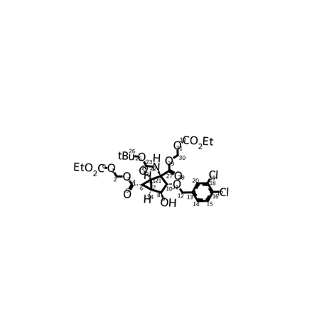 CCOC(=O)OCOC(=O)[C@H]1[C@@H]2[C@H](O)[C@@H](OCc3ccc(Cl)c(Cl)c3)[C@@](NC(=O)OC(C)(C)C)(C(=O)OCOC(=O)OCC)[C@H]12